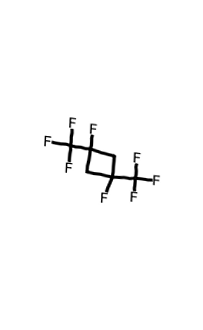 FC(F)(F)C1(F)CC(F)(C(F)(F)F)C1